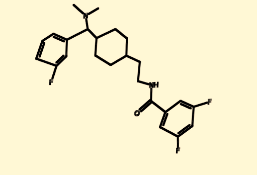 CN(C)C(c1cccc(F)c1)C1CCC(CCNC(=O)c2cc(F)cc(F)c2)CC1